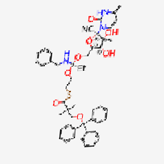 C=C1C=CN([C@]2(C#N)O[C@H](COC(CC)(NCc3ccccc3)OCCSC(=O)C(C)(C)COC(c3ccccc3)(c3ccccc3)c3ccccc3)[C@@H](O)[C@@]2(C)O)C(=O)N1